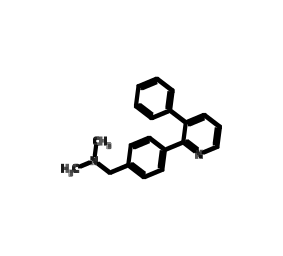 CN(C)Cc1ccc(-c2ncccc2-c2ccccc2)cc1